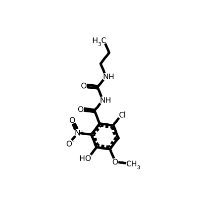 CCCNC(=O)NC(=O)c1c(Cl)cc(OC)c(O)c1[N+](=O)[O-]